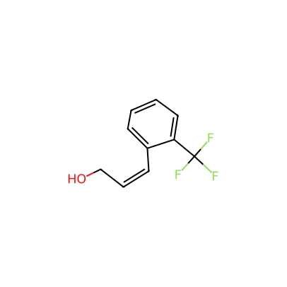 OC/C=C\c1ccccc1C(F)(F)F